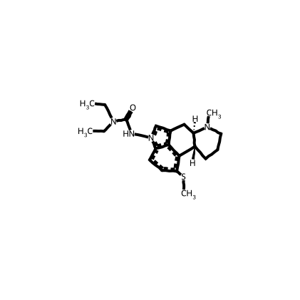 CCN(CC)C(=O)Nn1cc2c3c(c(SC)ccc31)[C@H]1CCCN(C)[C@@H]1C2